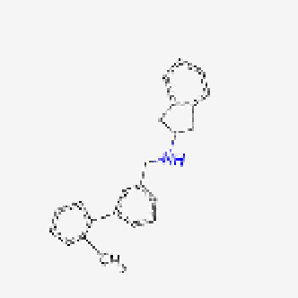 Cc1ccccc1-c1cccc(CNC2Cc3ccccc3C2)c1